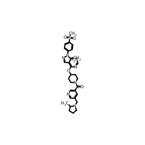 C=c1/c(=C(\N=C/N)OC2CCN(C(=O)c3cncc(CN4CCCC4C)c3)CC2)cnn1-c1ccc(S(C)(=O)=O)cc1